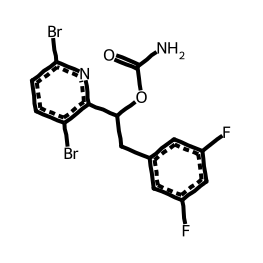 NC(=O)OC(Cc1cc(F)cc(F)c1)c1nc(Br)ccc1Br